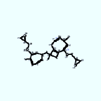 CC1=CC=CC(CC2(C)CC3=C2C/C=C\C(C)/C=C\3OCC2CO2)C=C1OCC1CO1